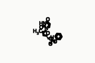 CC1C[C@@H](CO[PH](=O)Oc2ccccc2)O[C@H]1n1ccc(=O)[nH]c1=O